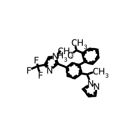 CC(C)c1ccccc1-c1cc(-c2nc(C(F)(F)F)cn2C)ccc1C(C)n1cccn1